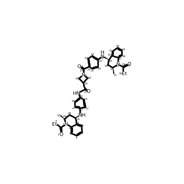 CCC(=O)N1c2ccccc2[C@H](Nc2ccc(NC(=O)C3CN(C(=O)c4ccc(N[C@@H]5C[C@H](C)N(C(=O)CC)c6ccccc65)cc4)C3)cc2)C[C@@H]1C